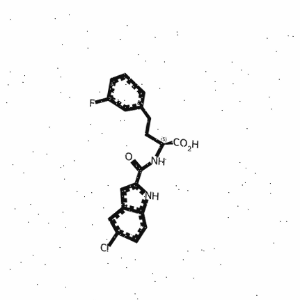 O=C(N[C@@H](CCc1cccc(F)c1)C(=O)O)c1cc2cc(Cl)ccc2[nH]1